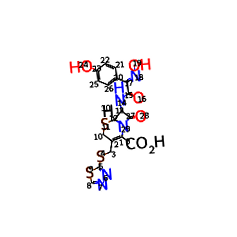 O=C(O)C1=C(CSc2nncs2)CS[C@@H]2C(NC(=O)/C(=N/O)c3ccc(O)cc3)C(=O)N12